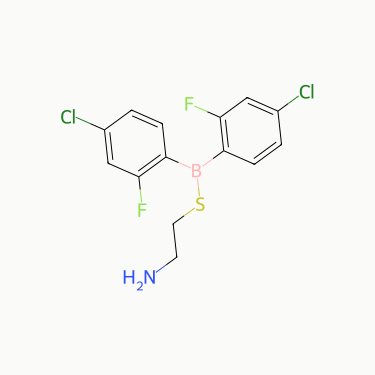 NCCSB(c1ccc(Cl)cc1F)c1ccc(Cl)cc1F